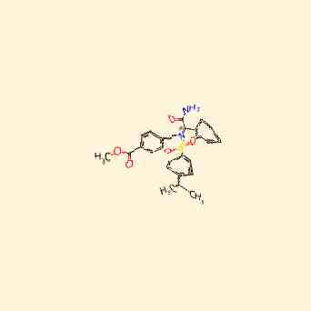 COC(=O)c1ccc(CN([C@@H](C(N)=O)c2ccccc2)S(=O)(=O)c2ccc(C(C)C)cc2)cc1